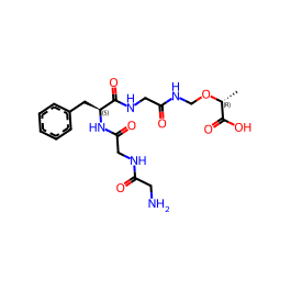 C[C@@H](OCNC(=O)CNC(=O)[C@H](Cc1ccccc1)NC(=O)CNC(=O)CN)C(=O)O